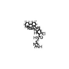 O=C(NCCc1c[nH]cn1)c1cc2[nH]c(-c3cccc(-c4cccnc4O)c3O)nc2cc1Cl